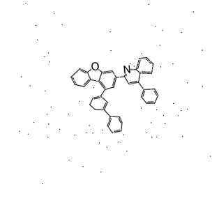 C1=C(c2ccccc2)CCC=C1c1cc(-c2cc(-c3ccccc3)c3ccccc3n2)cc2oc3ccccc3c12